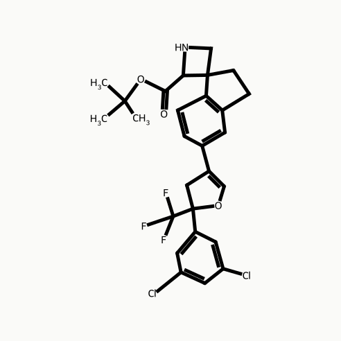 CC(C)(C)OC(=O)C1NCC12CCc1cc(C3=COC(c4cc(Cl)cc(Cl)c4)(C(F)(F)F)C3)ccc12